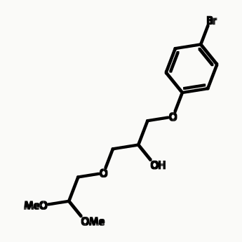 COC(COCC(O)COc1ccc(Br)cc1)OC